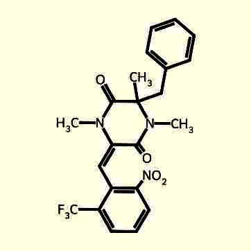 CN1C(=O)C(C)(Cc2ccccc2)N(C)C(=O)/C1=C\c1c([N+](=O)[O-])cccc1C(F)(F)F